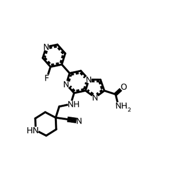 N#CC1(CNc2nc(-c3ccncc3F)cn3cc(C(N)=O)nc23)CCNCC1